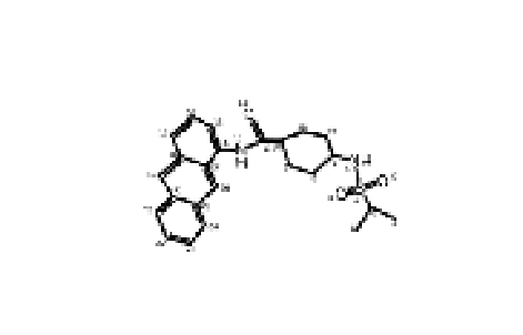 CC(C)S(=O)(=O)NC1CCC(C(=O)Nc2cccc3cc4ccccc4cc23)CC1